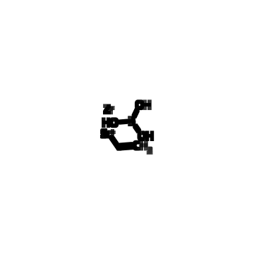 C=[CH][Sr+].OB(O)O.[Zr]